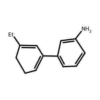 CCC1=CC(c2cccc(N)c2)=CCC1